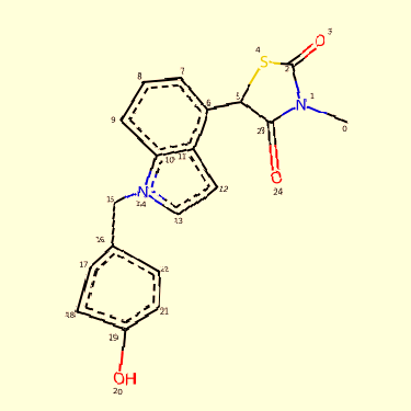 CN1C(=O)SC(c2cccc3c2ccn3Cc2ccc(O)cc2)C1=O